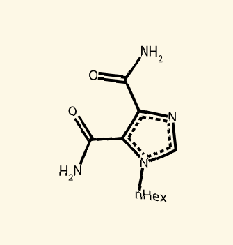 CCCCCCn1cnc(C(N)=O)c1C(N)=O